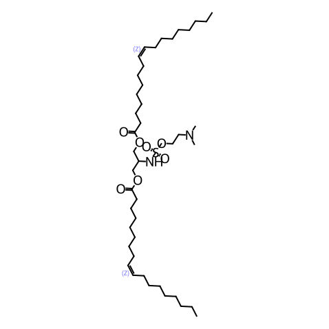 CCCCCCCC/C=C\CCCCCCCC(=O)OCC(COC(=O)CCCCCCC/C=C\CCCCCCCC)NS(=O)(=O)OCCN(C)C